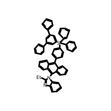 CCc1nc2ccccc2n1-c1c2ccccc2c(-c2ccc([Si](c3ccccc3)(c3ccccc3)c3cc(-c4ccccc4)cc(-c4ccccc4)c3)cc2)c2ccccc12